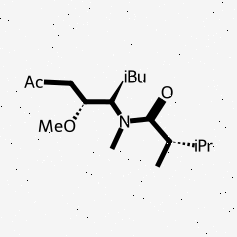 CC[C@H](C)C([C@@H](CC(C)=O)OC)N(C)C(=O)[C@@H](C)C(C)C